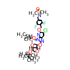 C[SiH](C)CCOCn1c(O[C@@H]2CO[C@H]3[C@@H]2OC[C@H]3O[Si](C)(C)C(C)(C)C)nc2cc(Cl)c(OCc3c(F)cc(CN=S(C)(C)=O)cc3F)nc21